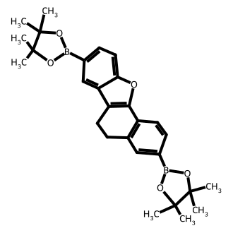 CC1(C)OB(c2ccc3c(c2)CCc2c-3oc3ccc(B4OC(C)(C)C(C)(C)O4)cc23)OC1(C)C